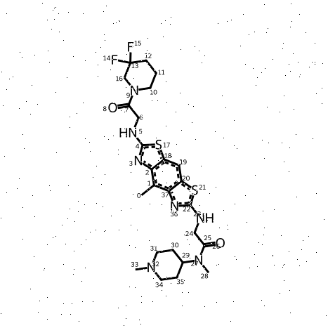 Cc1c2nc(NCC(=O)N3CCCC(F)(F)C3)sc2cc2sc(NCC(=O)N(C)C3CCN(C)CC3)nc12